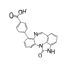 O=C(O)c1ccc(-c2cccc3c2N=Cc2cccc4[nH]c(=O)n-3c24)cc1